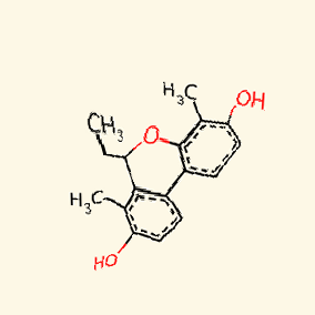 CCC1Oc2c(ccc(O)c2C)-c2ccc(O)c(C)c21